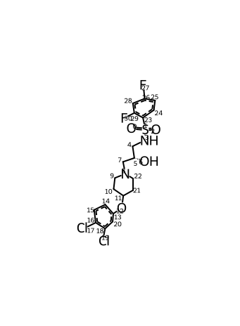 O=S(=O)(NC[C@H](O)CN1CCC(Oc2ccc(Cl)c(Cl)c2)CC1)c1ccc(F)cc1F